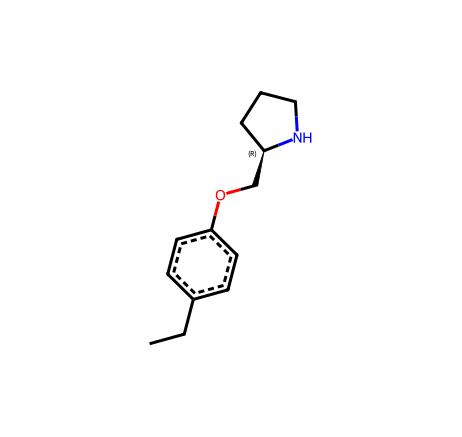 CCc1ccc(OC[C@H]2CCCN2)cc1